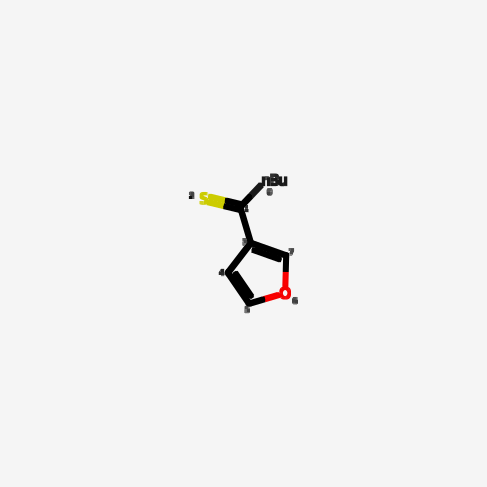 CCCCC(=S)c1ccoc1